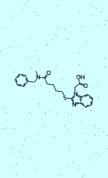 CN(Cc1ccccc1)C(=O)CCCCSc1nc2ccccc2n1CC(=O)O